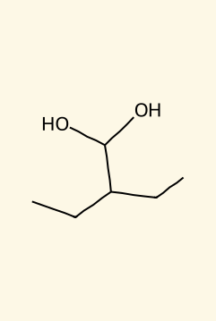 CCC(CC)C(O)O